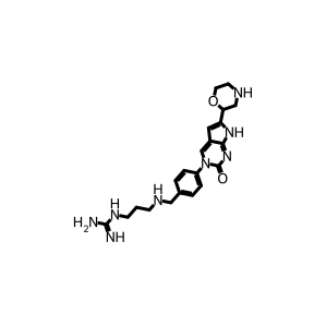 N=C(N)NCCCNCc1ccc(-n2cc3cc(C4CNCCO4)[nH]c3nc2=O)cc1